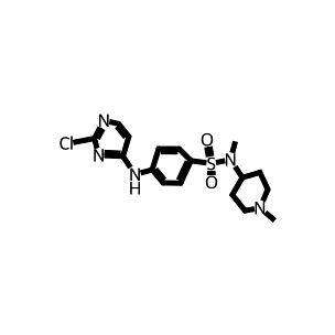 CN1CCC(N(C)S(=O)(=O)c2ccc(Nc3ccnc(Cl)n3)cc2)CC1